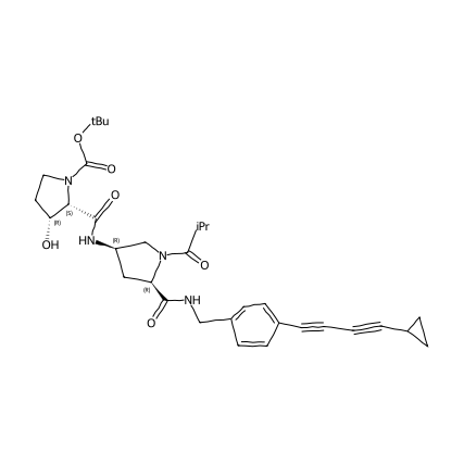 CC(C)C(=O)N1C[C@H](NC(=O)[C@@H]2[C@H](O)CCN2C(=O)OC(C)(C)C)C[C@@H]1C(=O)NCc1ccc(C#CC#CC2CC2)cc1